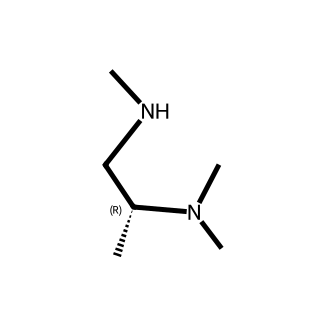 CNC[C@@H](C)N(C)C